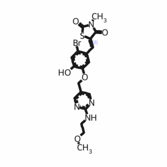 COCCNc1ncc(COc2cc(/C=C3\SC(=O)N(C)C3=O)c(Br)cc2O)cn1